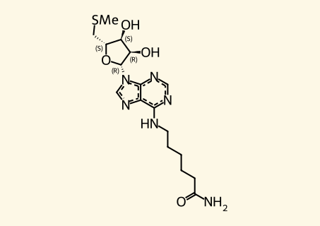 CSC[C@H]1O[C@@H](n2cnc3c(NCCCCCC(N)=O)ncnc32)[C@H](O)[C@@H]1O